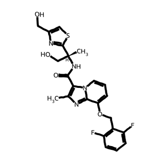 Cc1nc2c(OCc3c(F)cccc3F)cccn2c1C(=O)N[C@](C)(CO)c1nc(CO)cs1